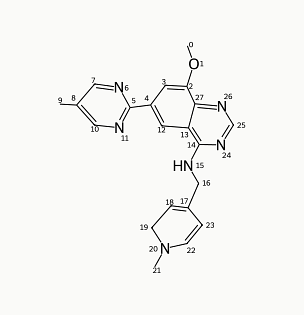 COc1cc(-c2ncc(C)cn2)cc2c(NCC3=CCN(C)C=C3)ncnc12